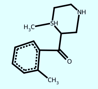 Cc1ccccc1C(=O)C1CNCC[SH]1C